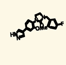 COc1cc(-c2cn[nH]c2)ccc1N1CCN(Cc2cccc(F)c2)C1=O